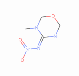 CN1COC[N]C1=N[N+](=O)[O-]